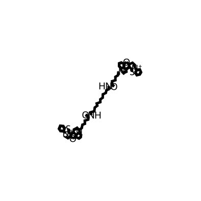 O=C(CCCCCN1C=CC2=C3c4sc5ccccc5[n+]4CCC3Oc3cccc1c32)NCCCCCCCCCCCCNC(=O)CCCCCN1C=CC2=C3c4sc5ccccc5[n+]4CCC3Oc3cccc1c32